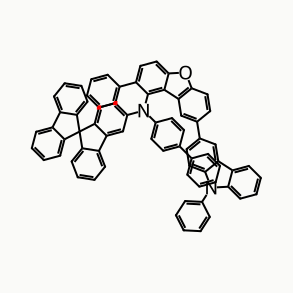 c1ccc(-c2ccc(N(c3ccc4c(c3)-c3ccccc3C43c4ccccc4-c4ccccc43)c3c(-c4ccccc4)ccc4oc5ccc(-c6ccc7c(c6)c6ccccc6n7-c6ccccc6)cc5c34)cc2)cc1